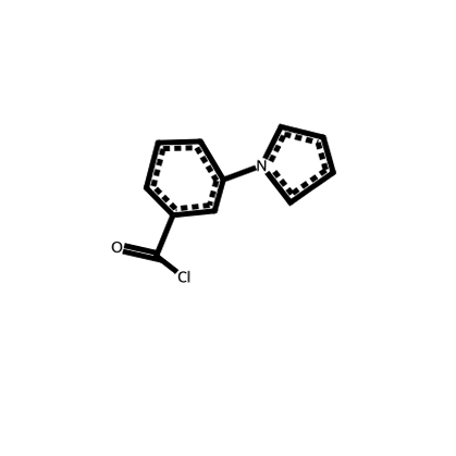 O=C(Cl)c1cccc(-n2cccc2)c1